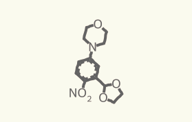 O=[N+]([O-])c1ccc(N2CCOCC2)cc1C1OCCO1